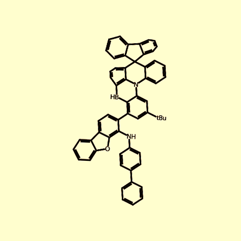 CC(C)(C)c1cc(-c2ccc3c(oc4ccccc43)c2Nc2ccc(-c3ccccc3)cc2)c2c(c1)N1c3ccccc3C3(c4ccccc4-c4ccccc43)c3cccc(c31)B2